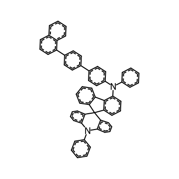 c1ccc(N(c2ccc(-c3ccc(-c4cccc5ccccc45)cc3)cc2)c2cccc3c2-c2ccccc2C32c3ccccc3N(c3ccccc3)c3ccccc32)cc1